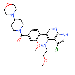 COCCNc1c(-c2ccc(C(=O)N3CCC(N4CCOCC4)CC3)cc2OC)cnc2[nH]cc(Cl)c12